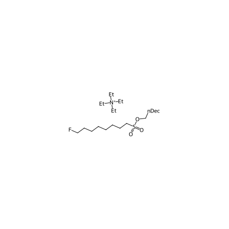 CCCCCCCCCCCOS(=O)(=O)CCCCCCCCF.CC[N+](CC)(CC)CC